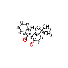 CC(C)(C)C1CCC(=O)C(C(=O)c2ccccc2)C1